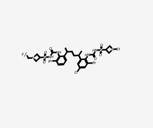 CCN1CC(S(=O)(=O)NC(=O)Nc2c(C(C)C)cc(Cl)cc2C(C)CCC(C)c2cccc(C(C)C)c2NC(=O)NS(=O)(=O)C2CN(CC(F)(F)F)C2)C1